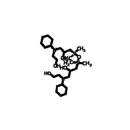 C[Si](C)(CC(O)CN(CCO)C1CCCCC1)O[Si](C)(C)CC(O)CN(CCO)C1CCCCC1